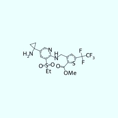 CCS(=O)(=O)c1cc(C2(N)CC2)cnc1NCc1cc(C(F)(F)C(F)(F)F)sc1C(=O)OC